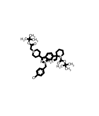 C=CC1(c2ccc3c(C4CCN(CC(=O)OC(C)(C)C)CC4)nn(Cc4ccc(Cl)cc4)c3c2)CCCCN1C(=O)OC(C)(C)C